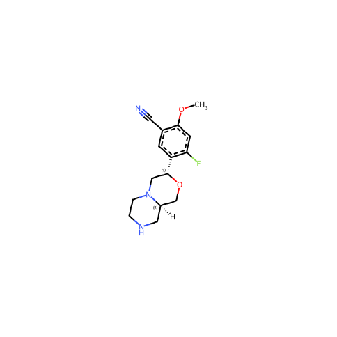 COc1cc(F)c([C@H]2CN3CCNC[C@@H]3CO2)cc1C#N